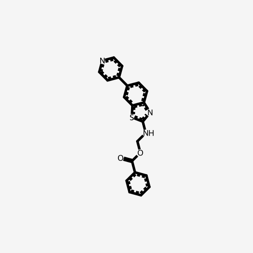 O=C(OCNc1nc2ccc(-c3ccncc3)cc2s1)c1ccccc1